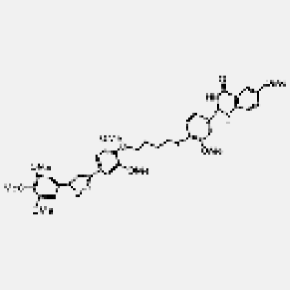 COc1ccc2c(c1)C(=O)NC(c1ccc(OCCCCOc3c(OC)cc(C4=NOC(c5cc(OC)c(OC)c(OC)c5)C4)cc3OC)c(OC)c1)N2